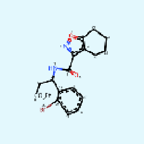 CCOC(=O)CC(NC(=O)c1noc2c1CCCC2)c1ccccc1Br